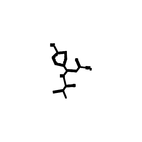 C=C(C)C(=O)N/C(=C/C(N)=O)c1ccc(C#N)cc1